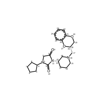 O=C1CN(C2CCCC2)C(=O)N1[C@H]1CCCN(C[C@H]2COc3ccccc3O2)C1